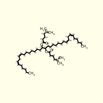 CCCCC/C=C\C/C=C\CCCCCCCC(OC(=O)CCCN(C)C)C(CCCCCCC/C=C\C/C=C\CCCCC)OC(=O)CCCN(C)C